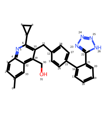 Cc1ccc2nc(C3CC3)c(Cc3ccc(-c4ccccc4-c4nnn[nH]4)cc3)c(CO)c2c1